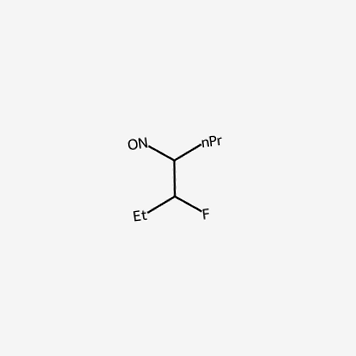 CCCC(N=O)C(F)CC